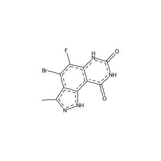 Cc1n[nH]c2c1c(Br)c(F)c1[nH]c(=O)[nH]c(=O)c12